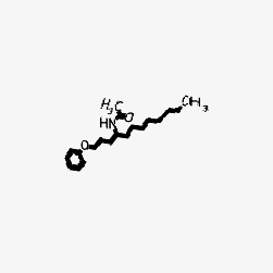 CCCCCCCCC(CCCOc1ccccc1)NC(C)=O